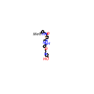 COc1cccc(CNC(=O)c2ccc(-c3ccnc(Nc4cccc(OCCCN5CCC(CO)CC5)c4)n3)s2)c1